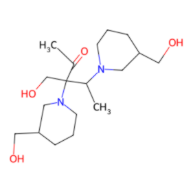 CC(=O)C(CO)(C(C)N1CCCC(CO)C1)N1CCCC(CO)C1